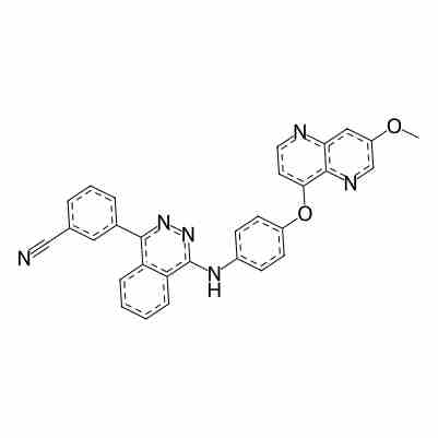 COc1cnc2c(Oc3ccc(Nc4nnc(-c5cccc(C#N)c5)c5ccccc45)cc3)ccnc2c1